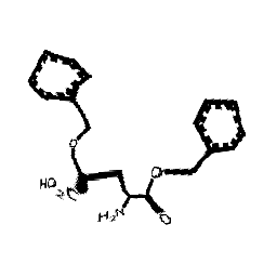 NC(CC(OCc1ccccc1)C(=O)O)C(=O)OCc1ccccc1